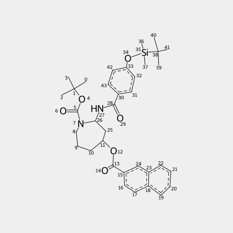 CC(C)(C)OC(=O)N1CCCC(OC(=O)c2ccc3ccccc3c2)CC1NC(=O)c1ccc(O[Si](C)(C)C(C)(C)C)cc1